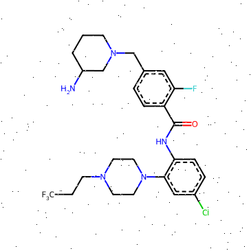 NC1CCCN(Cc2ccc(C(=O)Nc3ccc(Cl)cc3N3CCN(CCC(F)(F)F)CC3)c(F)c2)C1